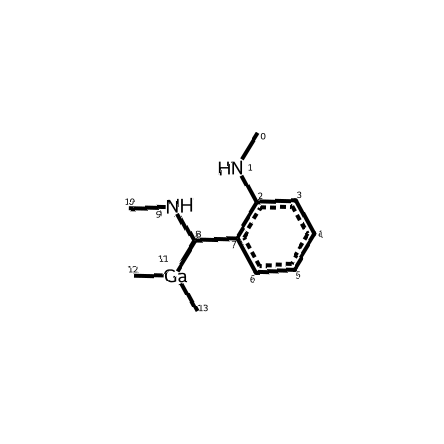 CNc1ccccc1[CH](NC)[Ga]([CH3])[CH3]